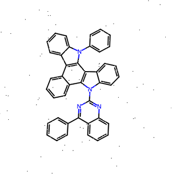 c1ccc(-c2nc(-n3c4ccccc4c4c3c3ccccc3c3c5ccccc5n(-c5ccccc5)c34)nc3ccccc23)cc1